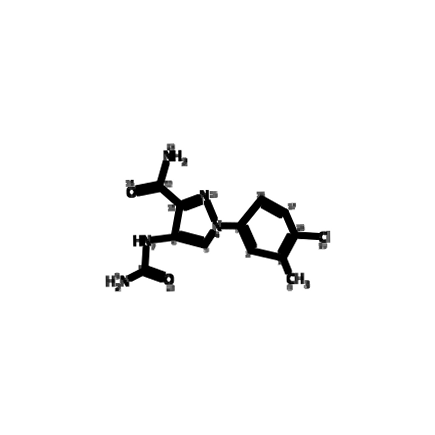 Cc1cc(-n2cc(NC(N)=O)c(C(N)=O)n2)ccc1Cl